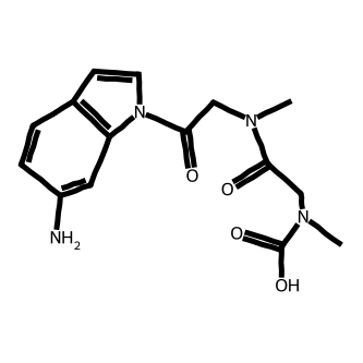 CN(CC(=O)N(C)CC(=O)n1ccc2ccc(N)cc21)C(=O)O